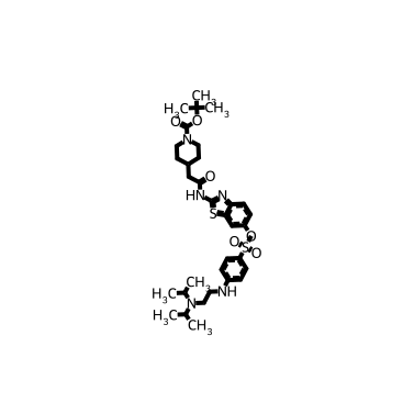 CC(C)N(CCNc1ccc(S(=O)(=O)Oc2ccc3nc(NC(=O)CC4CCN(C(=O)OC(C)(C)C)CC4)sc3c2)cc1)C(C)C